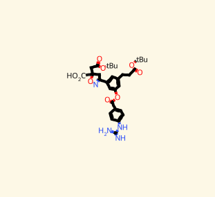 CC(C)(C)OC(=O)CCc1cc(OC(=O)c2ccc(NC(=N)N)cc2)cc(C2=NOC(CC(=O)OC(C)(C)C)(C(=O)O)C2)c1